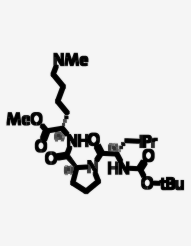 CNCCCC[C@H](NC(=O)[C@@H]1CCCN1C(=O)[C@H](CC(C)C)NC(=O)OC(C)(C)C)C(=O)OC